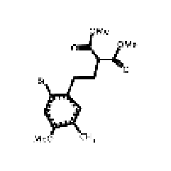 COC(=O)C(CCc1cc(C)c(OC)cc1Br)C(=O)OC